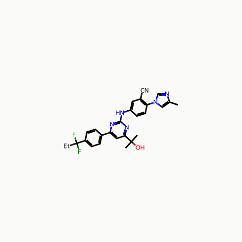 CCC(F)(F)c1ccc(-c2cc(C(C)(C)O)nc(Nc3ccc(-n4cnc(C)c4)c(C#N)c3)n2)cc1